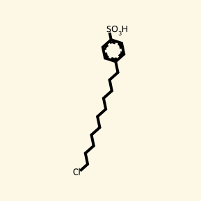 O=S(=O)(O)c1ccc(CCCCCCCCCCCCl)cc1